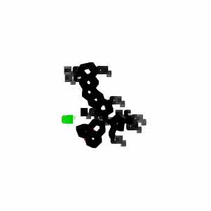 CCC1C=C(C(C)(C)C)C=[C]1[Zr+2](=[C](Cc1ccccc1)Cc1ccccc1)[CH]1C=C(C)c2cc3c(cc2C1(C)C)Cc1cc2c(cc1-3)C(C)=CCC2(C)C.[Cl-].[Cl-]